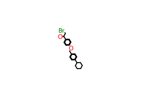 O=C(CBr)c1ccc(OCc2ccc(C3CCCCC3)cc2)cc1